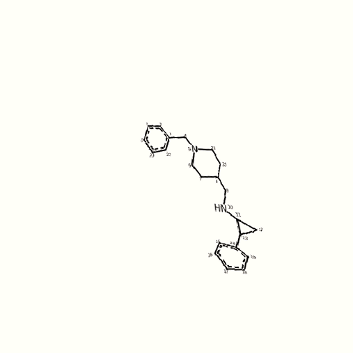 c1ccc(CN2CCC(CNC3CC3c3ccccc3)CC2)cc1